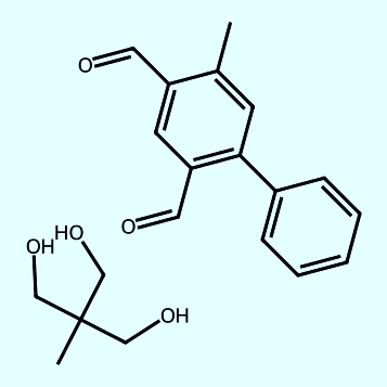 CC(CO)(CO)CO.Cc1cc(-c2ccccc2)c(C=O)cc1C=O